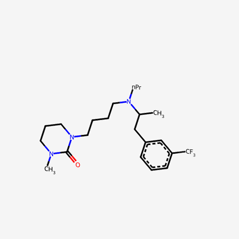 CCCN(CCCCN1CCCN(C)C1=O)C(C)Cc1cccc(C(F)(F)F)c1